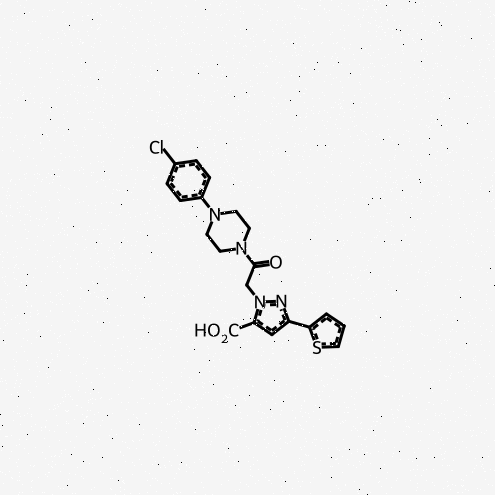 O=C(O)c1cc(-c2cccs2)nn1CC(=O)N1CCN(c2ccc(Cl)cc2)CC1